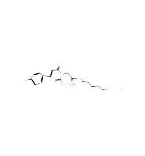 CCCCCc1nc(-c2ccc(Cl)cc2)cc(=O)n1CC(=O)NCCCCCC(=O)O